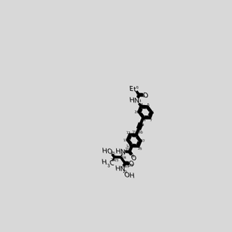 CCC(=O)Nc1cccc(C#Cc2ccc(C(=O)N[C@H](C(=O)NO)[C@@H](C)O)cc2)c1